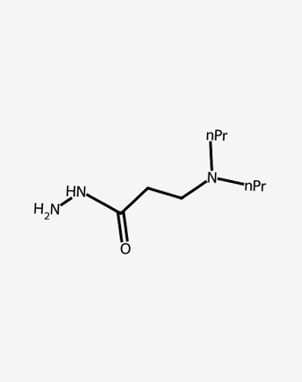 CCCN(CCC)CCC(=O)NN